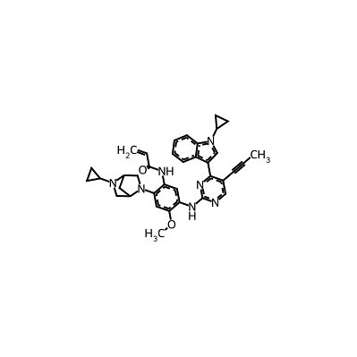 C=CC(=O)Nc1cc(Nc2ncc(C#CC)c(-c3cn(C4CC4)c4ccccc34)n2)c(OC)cc1N1CC2CC1CN2C1CC1